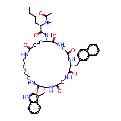 CCCC[C@@H](NC(C)=O)C(=O)N[C@H]1CCC(=O)NCCCCNC(=O)[C@@H](Cc2c[nH]c3ccccc23)NC(=O)CNC(=O)[C@@H](Cc2ccc3ccccc3c2)NC(=O)CNC1=O